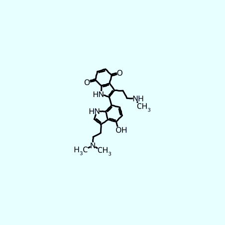 CNCCc1c(-c2ccc(O)c3c(CCN(C)C)c[nH]c23)[nH]c2c1C(=O)C=CC2=O